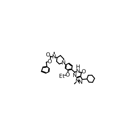 CCOc1cc(N2CCC(N(C)C(=O)OCc3ccccc3)CC2)ccc1-c1nc2c(c(C3CCCCC3)nn2C)c(=O)[nH]1